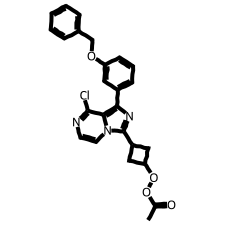 CC(=O)OOC1CC(c2nc(-c3cccc(OCc4ccccc4)c3)c3c(Cl)nccn23)C1